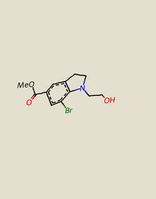 COC(=O)c1cc(Br)c2c(c1)CCN2CCO